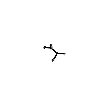 FP(F)N[P]